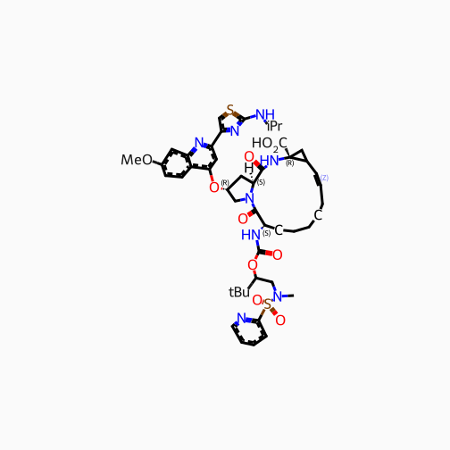 COc1ccc2c(O[C@@H]3C[C@H]4C(=O)N[C@]5(C(=O)O)CC5/C=C\CCCCC[C@H](NC(=O)OC(CN(C)S(=O)(=O)c5ccccn5)C(C)(C)C)C(=O)N4C3)cc(-c3csc(NC(C)C)n3)nc2c1